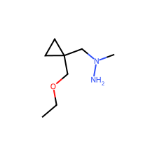 CCOCC1(CN(C)N)CC1